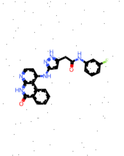 O=C(Cc1cc(Nc2ccnc3[nH]c(=O)c4ccccc4c23)n[nH]1)Nc1cccc(F)c1